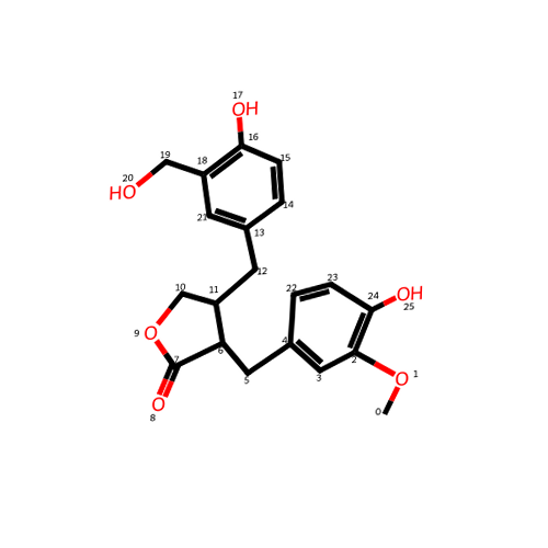 COc1cc(CC2C(=O)OCC2Cc2ccc(O)c(CO)c2)ccc1O